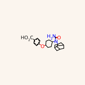 NC(=O)N(C1CCC(Oc2ccc(C(=O)O)cc2)CC1)C12CC3CC(CC(C3)C1)C2